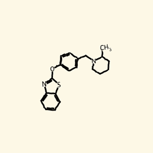 CC1CCCCN1Cc1ccc(Oc2nc3ccccc3s2)cc1